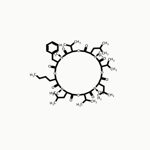 CCCCC1OC(=O)C(Cc2ccccc2)N(C)C(=O)C(C(C)C)OC(=O)C(CC(C)C)N(C)C(=O)C(C(C)C)OC(=O)C(CC(C)C)N(C)C(=O)C(C(C)C)OC(=O)C(CC(C)C)N(C)C1=O